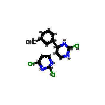 Clc1ccnc(Cl)n1.O=Cc1cccc(-c2ccnc(Cl)n2)c1